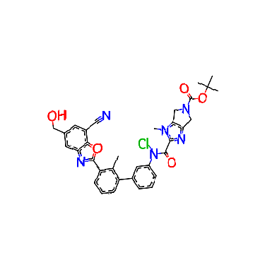 Cc1c(-c2cccc(N(Cl)C(=O)c3nc4c(n3C)CN(C(=O)OC(C)(C)C)C4)c2)cccc1-c1nc2cc(CO)cc(C#N)c2o1